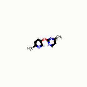 Cc1ccc(Oc2nccc(C)n2)cn1